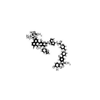 CCc1c(F)ccc2cc(O[Si](C(C)C)(C(C)C)C(C)C)cc(-c3ncc4c(N5CCC[C@@]6(CCO6)C5)nc(OC[C@@]56CCCN5[C@H](COC(=O)N5CCC(CN7CCC(c8cc9c(cc8F)n(C8CCC(=O)NC8=O)c(=O)n9C)CC7)CC5)CC6)nc4c3F)c12